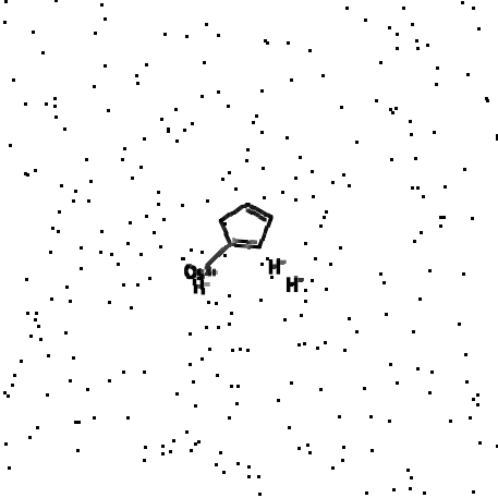 [H-].[H-].[H-].[Os+3][C]1=CC=CC1